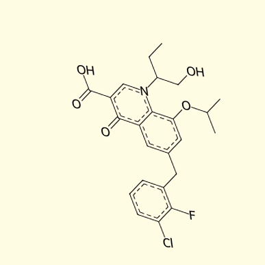 CCC(CO)n1cc(C(=O)O)c(=O)c2cc(Cc3cccc(Cl)c3F)cc(OC(C)C)c21